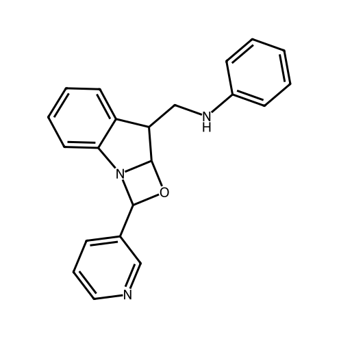 c1ccc(NCC2c3ccccc3N3C(c4cccnc4)OC23)cc1